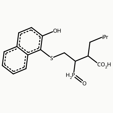 CC(C)CC(C(=O)O)C(CSc1c(O)ccc2ccccc12)[PH2]=O